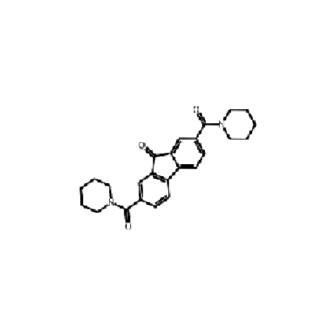 O=C1c2cc(C(=O)N3CCCCC3)ccc2-c2ccc(C(=O)N3CCCCC3)cc21